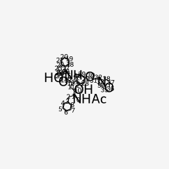 CC(=O)NC(Cc1ccccc1)C(O)CC(C(=O)N[C@H]1c2ccccc2C[C@@H]1O)c1ccc(OCCN2CCOCC2)cc1